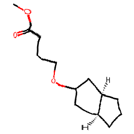 COC(=O)CCCOC1C[C@H]2CCC[C@H]2C1